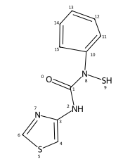 O=C(Nc1cscn1)N(S)c1ccccc1